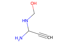 C#CC(N)NCO